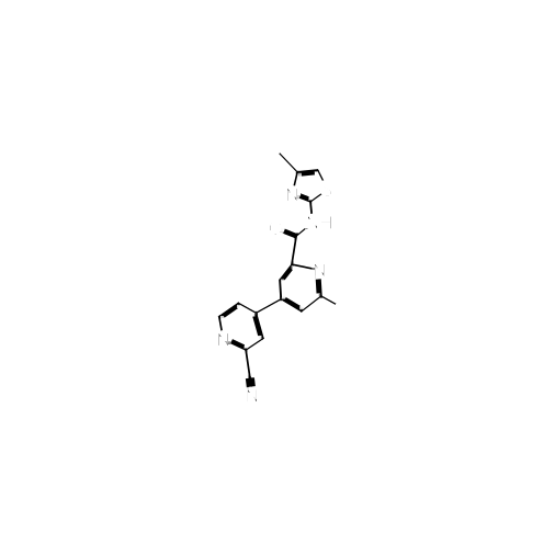 Cc1cc(-c2ccnc(C#N)c2)cc(C(=O)Nc2nc(C)cs2)n1